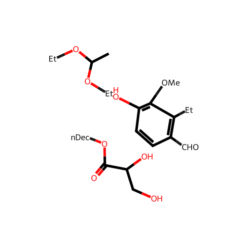 CCCCCCCCCCOC(=O)C(O)CO.CCOC(C)OCC.CCc1c(C=O)ccc(O)c1OC